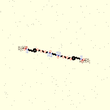 CC(C)(C)OC(=O)NCCCCc1ccc(OCCOCCOCCNC(=O)NCCCCNC(=O)NCCOCCOCCOc2ccc(CCCCNC(=O)OC(C)(C)C)cc2)cc1